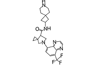 O=C(NC1CC2(CCNCC2)C1)C1CN(c2ccc(C(F)(F)F)c3nccnc23)CC12CC2